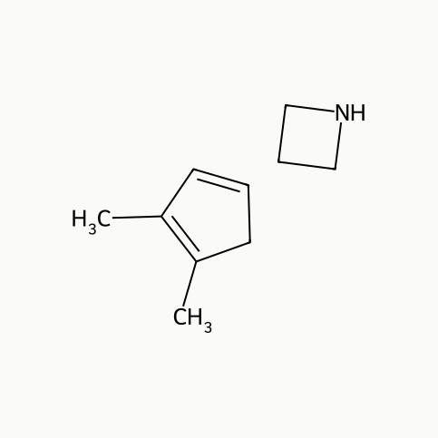 C1CNC1.CC1=C(C)CC=C1